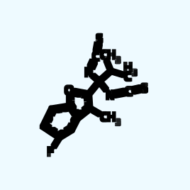 Cc1c(C(N=C=S)(N=C=S)C(C)C)oc2ccc(F)cc12